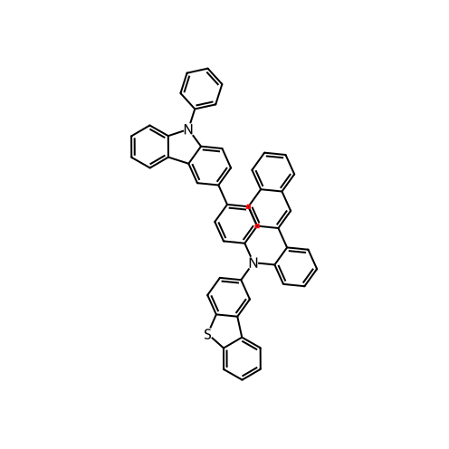 c1ccc(-n2c3ccccc3c3cc(-c4ccc(N(c5ccc6sc7ccccc7c6c5)c5ccccc5-c5ccc6ccccc6c5)cc4)ccc32)cc1